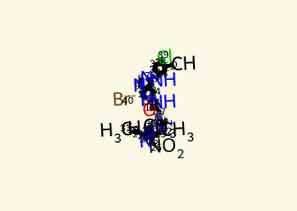 C#Cc1cc(Nc2ncnc3cnc(NC(=O)/C=C/C[N+](C)(C)Cc4c([N+](=O)[O-])nc(C#CC)n4C)cc23)ccc1Cl.[Br-]